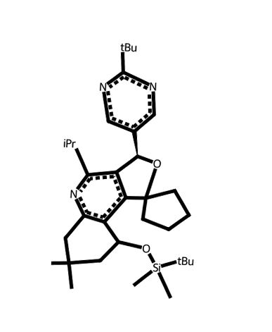 CC(C)c1nc2c(c3c1[C@@H](c1cnc(C(C)(C)C)nc1)OC31CCCC1)C(O[Si](C)(C)C(C)(C)C)CC(C)(C)C2